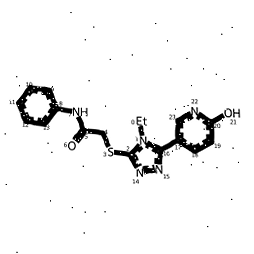 CCn1c(SCC(=O)Nc2ccccc2)nnc1-c1ccc(O)nc1